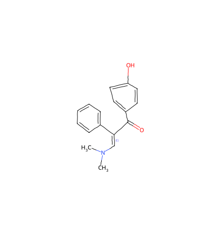 CN(C)/C=C(/C(=O)c1ccc(O)cc1)c1ccccc1